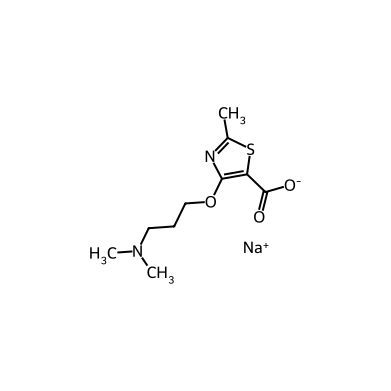 Cc1nc(OCCCN(C)C)c(C(=O)[O-])s1.[Na+]